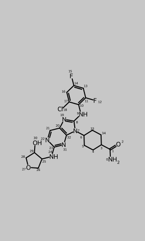 NC(=O)C1CCC(n2c(Nc3c(F)cc(F)cc3Cl)nc3cnc(NC4COCC4O)nc32)CC1